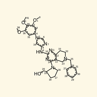 COc1cc(-n2cnc(Nc3nc4c(c(N5CCCC5CO)n3)CN(Cc3ccccc3)CC4)c2)cc(OC)c1OC